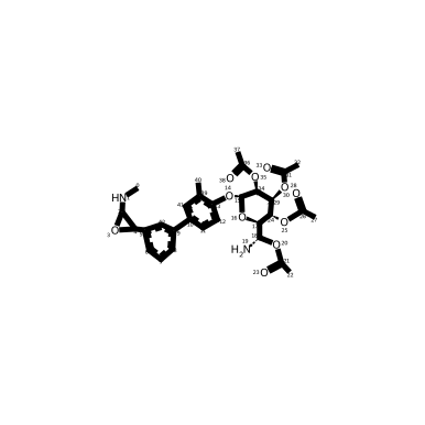 CNC1OC1c1cccc(-c2ccc(O[C@H]3O[C@H]([C@@H](N)OC(C)=O)[C@@H](OC(C)=O)[C@H](OC(C)=O)[C@@H]3OC(C)=O)c(C)c2)c1